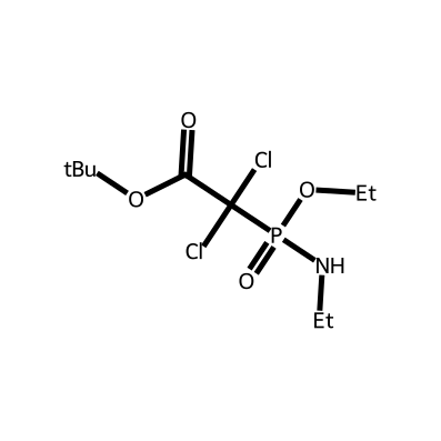 CCNP(=O)(OCC)C(Cl)(Cl)C(=O)OC(C)(C)C